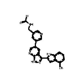 CCC(=O)NCc1cncc(-c2cnc3[nH]nc(-c4cc5c(C#N)cccc5[nH]4)c3c2)c1